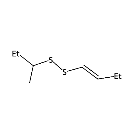 CCC=CSSC(C)CC